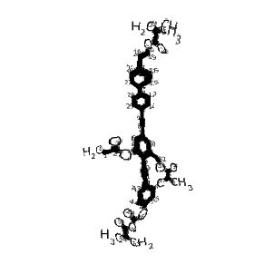 C=CC(=O)Oc1cc(C#Cc2ccc(-c3ccc(CCOC(=O)C(=C)C)cc3)cc2)cc(COC(=O)C(=C)C)c1C#Cc1ccc(OC(=O)OC(=O)C(=C)C)cc1